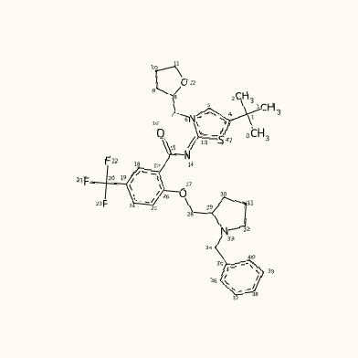 CC(C)(C)c1cn(CC2CCCO2)c(=NC(=O)c2cc(C(F)(F)F)ccc2OCC2CCCN2Cc2ccccc2)s1